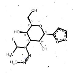 C/N=N\N(C(C)F)[C@H]1[C@@H](O)[C@@H](CO)O[C@@H](c2ccno2)[C@@H]1O